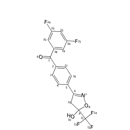 O=C(c1ccc(C2=NOC(O)(C(F)(F)F)C2)cc1)c1cc(F)cc(F)c1